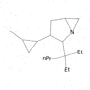 CCCC(CC)(CC)C1C(C2CC2C)CC2CN21